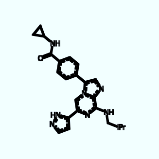 CC(C)CNc1nc(-c2ccn[nH]2)cn2c(-c3ccc(C(=O)NC4CC4)cc3)cnc12